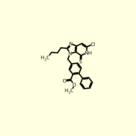 CCCCc1nc2cc(Cl)[nH]c(=S)c2n1Cc1ccc(-c2ccccc2)c(C(=O)OC)c1